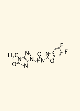 Cn1c(=O)cnc2c1ncn2CC(=O)Nc1nc2cc(F)c(F)cc2o1